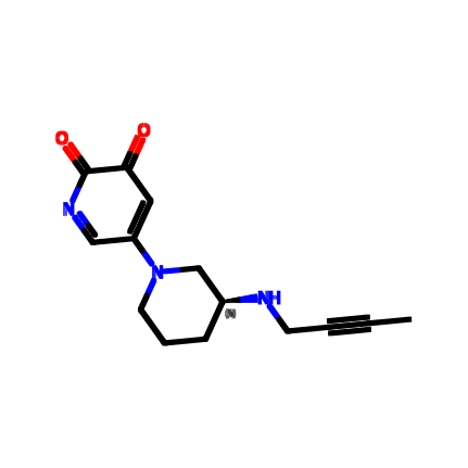 CC#CCN[C@H]1CCCN(C2=CC(=O)C(=O)N=C2)C1